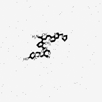 CC(=C\N)/C(=C\C=C/c1nccc2cc(CN3CCCC3)cnc12)c1cccc(-c2nc(C=O)c(/C(C#N)=C\N(C)CCN3CCC(O)CC3)o2)c1C